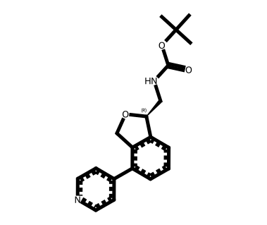 CC(C)(C)OC(=O)NC[C@@H]1OCc2c(-c3ccncc3)cccc21